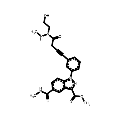 CNC(=O)c1ccc2c(c1)c(C(=O)OC)nn2-c1cccc(C#CCC(=O)N(CCO)NC)c1